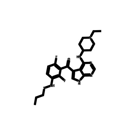 CCCSNc1ccc(F)c(C(=O)c2c[nH]c3ncnc(NC4CCN(CC)CC4)c23)c1F